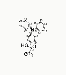 CC(=O)C(=O)O.c1ccc(N(c2ccccc2)c2ccccc2)cc1